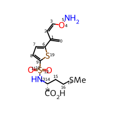 C=C(/C=C\ON)c1ccc(S(=O)(=O)N[C@H](CCSC)C(=O)O)s1